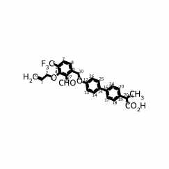 C=CCOc1c(C(F)(F)F)ccc(COc2ccc(-c3ccc(C(C)C(=O)O)cc3)cc2)c1C=O